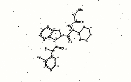 CC(C)(C)OC(=O)N[C@H](C(=O)N1Cc2ccccc2[C@H]1C(=O)N(F)c1ccccc1F)C1CCCCC1